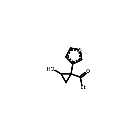 CCC(=O)C1(c2ccsc2)CC1O